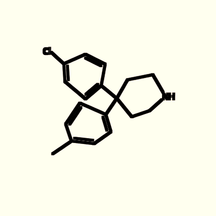 Cc1ccc(C2(c3ccc(Cl)cc3)CCNCC2)cc1